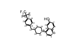 Oc1ccc2nccc(N3CCC(Cc4ccc(C(F)(F)C(F)(F)F)cc4)CC3)c2c1